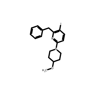 COC1CCN(c2ccc(I)c(Cc3ccccc3)n2)CC1